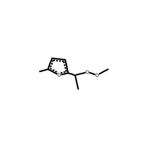 COOC(C)c1ccc(C)o1